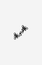 c1ccc(-c2nc(-c3ccccc3)nc(-c3cccc(-c4cc5ccc6c(ccc7cc(-c8nc(-c9ccccc9)nc(-c9ccccc9)n8)sc76)c5s4)c3)n2)cc1